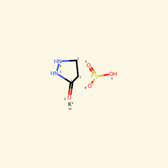 O=C1CCNN1.O=S([O-])O.[K+]